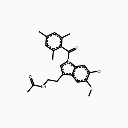 COc1cc2c(CCNC(C)=O)cn(C(=O)c3c(C)cc(C)cc3C)c2cc1Cl